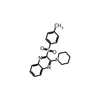 Cc1ccc(S(=O)(=O)c2nc3ccccc3nc2N2CCCCC2)cc1